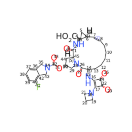 O=C1N[C@]2(C(=O)O)C[C@H]2/C=C\CCCCC[C@H](Nc2c(N3CCC3)c(=O)c2=O)C(=O)N2C[C@H](OC(=O)N3Cc4cccc(F)c4C3)C[C@@H]12